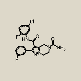 NC(=O)N1CCn2nc(-c3cccc(F)c3)c(C(=O)Nc3cc(Cl)ccc3F)c2C1